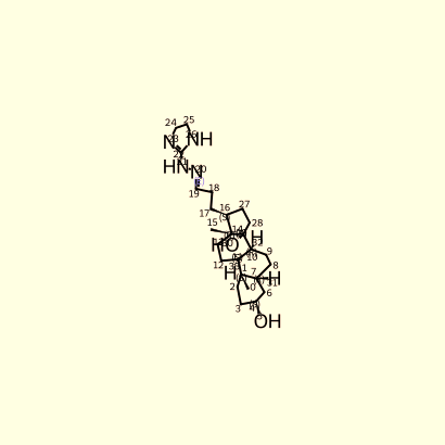 C[C@]12CC[C@H](O)C[C@H]1CC[C@@H]1[C@@H]2CC[C@]2(C)[C@@H](CC/C=N/NC3=NCCN3)CC[C@]12O